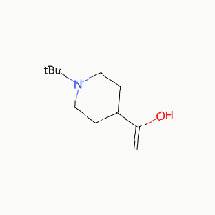 C=C(O)C1CCN(C(C)(C)C)CC1